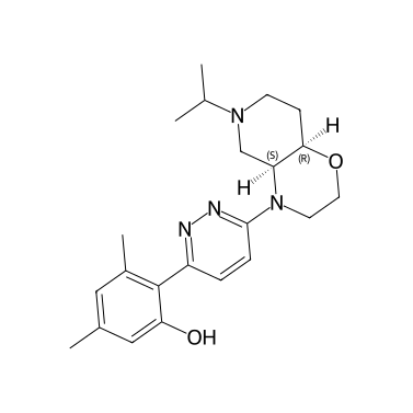 Cc1cc(C)c(-c2ccc(N3CCO[C@@H]4CCN(C(C)C)C[C@@H]43)nn2)c(O)c1